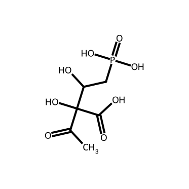 CC(=O)C(O)(C(=O)O)C(O)CP(=O)(O)O